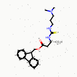 CN(C)CCCNC(=S)N[C@@H](CC(=O)OCC1c2ccccc2-c2ccccc21)C(=O)O